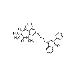 CCN1C(=O)C(C)(C)C(=O)N(C)c2cc(OCCCn3cc(-c4ccccc4)c(=O)c4ccccc43)ccc21